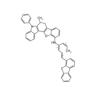 C\C=C/C(=C\C=C\c1cccc2c1sc1ccccc12)Nc1cccc2c3c(oc12)-c1c(n(-c2ccccc2)c2ccccc12)C(C)C3